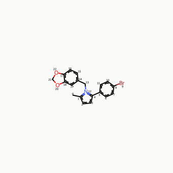 Cc1ccc(-c2ccc(Br)cc2)n1Cc1ccc2c(c1)OCO2